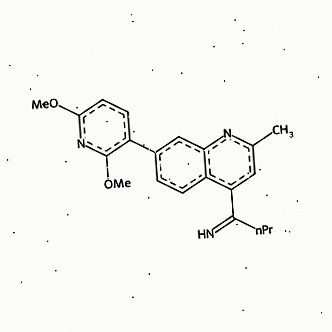 CCCC(=N)c1cc(C)nc2cc(-c3ccc(OC)nc3OC)ccc12